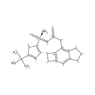 CC(C)(O)c1ncc([S@](N)(=O)=NC(=O)Cc2c3c(cc4c2CC4)CCC3)s1